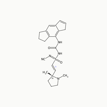 CN1CCC[C@]1(C)/C=C/S(=O)(=NC#N)NC(=O)Nc1c2c(cc3c1CCC3)C=CC2